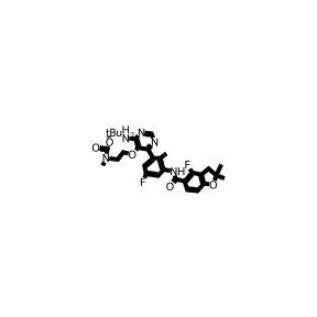 Cc1c(NC(=O)c2ccc3c(c2F)CC(C)(C)O3)cc(F)cc1-c1ncnc(N)c1OCCN(C)C(=O)OC(C)(C)C